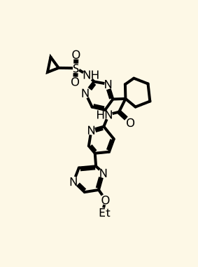 CCOc1cncc(-c2ccc(NC(=O)C3(c4ccnc(NS(=O)(=O)C5CC5)n4)CCCCC3)nc2)n1